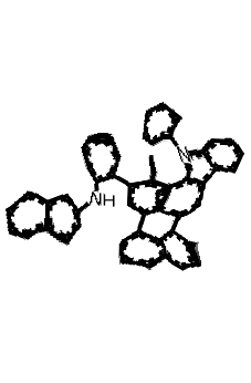 Cc1ccc(-c2cccc3cccc(-c4ccc5c(c4)c4ccccc4n5-c4ccccc4)c23)cc1-c1ccccc1Nc1ccc2ccccc2c1